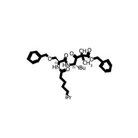 CCC(C)[C@H](NC(=O)[C@H](COCc1ccccc1)NC(=O)CCCCC(C)C)C(=O)C(C)(C)C(=O)OCc1ccccc1